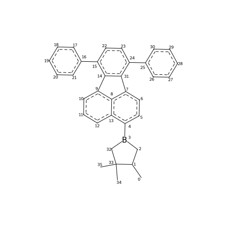 CC1CB(c2ccc3c4c(cccc24)-c2c(-c4ccccc4)ccc(-c4ccccc4)c2-3)CC1(C)C